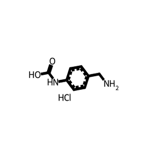 Cl.NCc1ccc(NC(=O)O)cc1